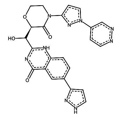 O=C1[C@@H](C(O)c2nc(=O)c3cc(-c4cc[nH]n4)ccc3[nH]2)OCCN1c1ccn(-c2ccnnc2)n1